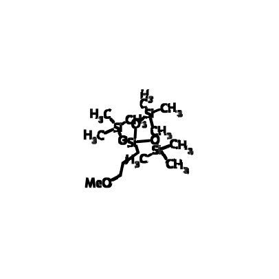 [CH2]OCCC[Si](O[Si](C)(C)C)(O[Si](C)(C)C)O[Si](C)(C)C